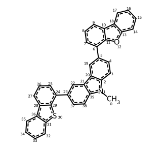 Cn1c2ccc(-c3cccc4c3oc3ccccc34)cc2c2cc(-c3cccc4c3sc3ccccc34)ccc21